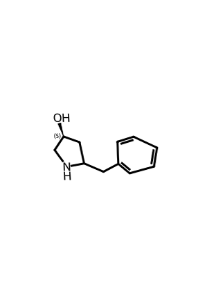 O[C@@H]1CNC(Cc2ccccc2)C1